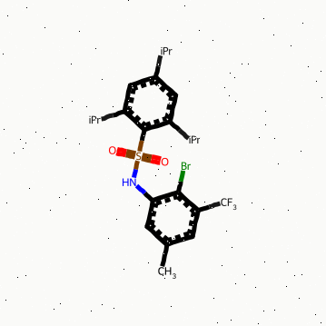 Cc1cc(NS(=O)(=O)c2c(C(C)C)cc(C(C)C)cc2C(C)C)c(Br)c(C(F)(F)F)c1